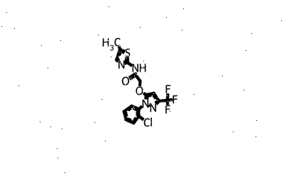 Cc1cnc(NC(=O)COc2cc(C(F)(F)F)nn2-c2ccccc2Cl)s1